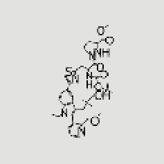 CCn1c(-c2cccnc2COC)c(CC(C)(C)CO)c2cc(-c3csc(CC(NC(=O)OC(C)(C)C)C(=O)N4CCC[C@@H](C(=O)OC)N4)n3)ccc21